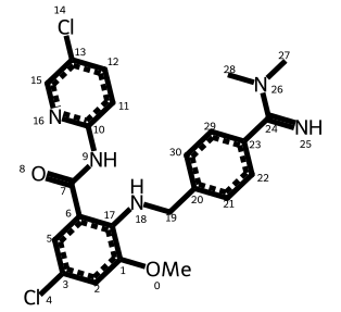 COc1cc(Cl)cc(C(=O)Nc2ccc(Cl)cn2)c1NCc1ccc(C(=N)N(C)C)cc1